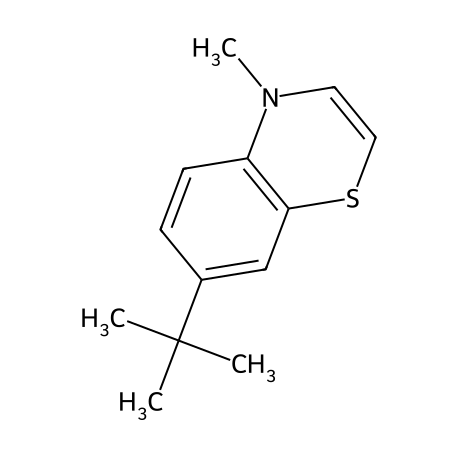 CN1C=CSc2cc(C(C)(C)C)ccc21